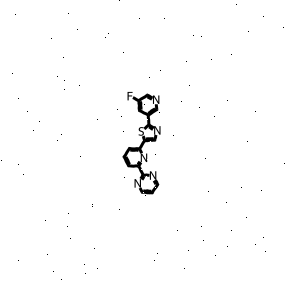 Fc1cncc(-c2ncc(-c3cccc(-c4ncccn4)n3)s2)c1